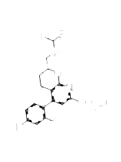 CCOC(=O)c1cc(-c2ccc(F)cc2F)c2c(n1)O[C@H](COC(F)F)[C@@H](C)C2